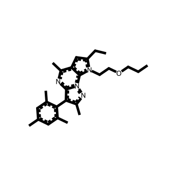 CCCOCCn1c(CC)cc2c(C)nc3c(-c4c(C)cc(C)cc4C)c(C)nn3c21